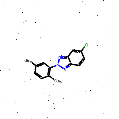 CC(=O)Oc1ccc(C(C)(C)C)cc1-n1nc2ccc(Cl)cc2n1